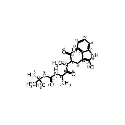 CC(NC(=O)OC(C)(C)C)C(=O)N(C)C(Cc1c(Cl)[nH]c2ccccc12)C(=O)O